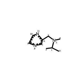 CC(C)N(C)Cc1cnccn1